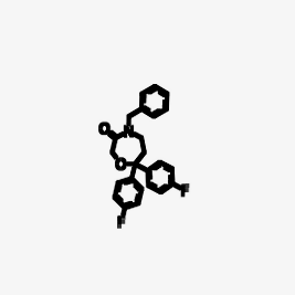 O=C1COC(c2ccc(F)cc2)(c2ccc(F)cc2)CCN1Cc1ccccc1